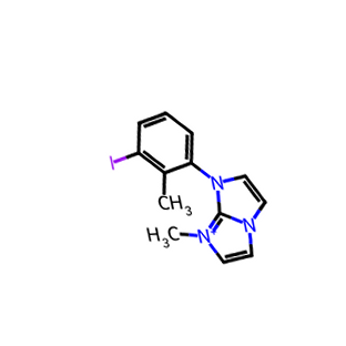 Cc1c(I)cccc1-n1ccn2cc[n+](C)c12